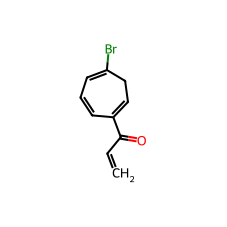 C=CC(=O)C1=CCC(Br)=CC=C1